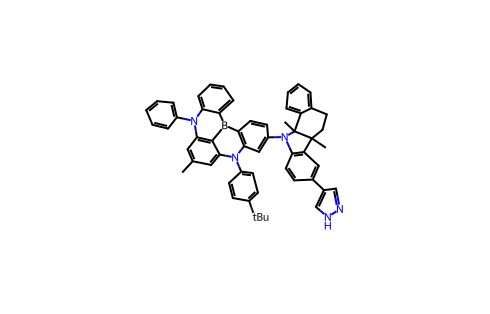 Cc1cc2c3c(c1)N(c1ccc(C(C)(C)C)cc1)c1cc(N4c5ccc(-c6cn[nH]c6)cc5C5(C)CCc6ccccc6C45C)ccc1B3c1ccccc1N2c1ccccc1